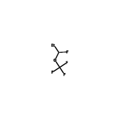 CCC(F)OC(F)(F)F